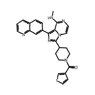 CNc1nccn2c(C3CCN(C(=O)c4ccsc4)CC3)nc(-c3ccc4cccnc4c3)c12